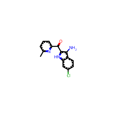 Cc1cccc(C(=O)c2[nH]c3cc(Cl)ccc3c2N)n1